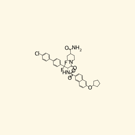 NC(=O)C1CCN(C(=O)[C@H](NS(=O)(=O)c2ccc3cc(OC4CCCC4)ccc3c2)C(F)(F)c2ccc(-c3ccc(Cl)cc3)cc2)CC1